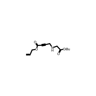 C=CCOC(=O)C#CCNCC(=O)OCC(C)C